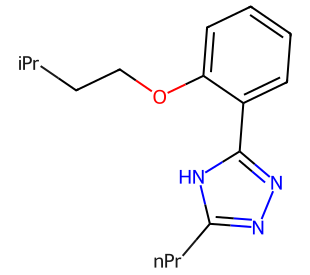 CCCc1nnc(-c2ccccc2OCCC(C)C)[nH]1